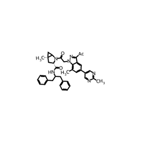 CC(=O)c1nn(CC(=O)N2C3C[C@]3(C)C[C@H]2C(=O)NC(Cc2ccccc2)Cc2ccccc2)c2c(C)cc(-c3cnc(C)nc3)cc12